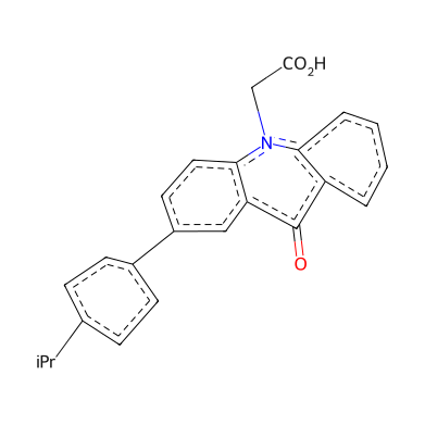 CC(C)c1ccc(-c2ccc3c(c2)c(=O)c2ccccc2n3CC(=O)O)cc1